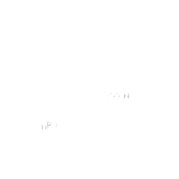 CCCCCC1(C(=O)O)C=CC1